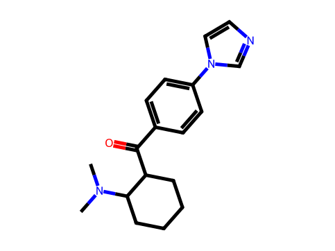 CN(C)C1CCCCC1C(=O)c1ccc(-n2ccnc2)cc1